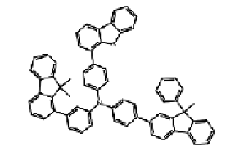 CC1(C)c2ccccc2-c2cccc(-c3cccc(N(c4ccc(-c5ccc6c(c5)C(C)(c5ccccc5)c5ccccc5-6)cc4)c4ccc(-c5cccc6c5sc5ccccc56)cc4)c3)c21